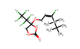 CC(C)(C)[Si](C)(C)C(F)=CCOC1(C(F)(F)C(F)(F)F)COC(=O)O1